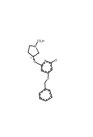 O=C(O)N1CC[C@H](Oc2cc(OCc3ccccc3)cc(Cl)n2)C1